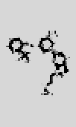 COCCn1ncc2ncc(N3C[C@@H](C)C[C@@H](COc4cccnc4C(F)(F)F)C3)nc21